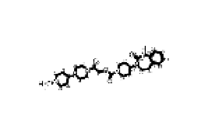 CN1CCC(N2CCN(C(=O)COC(=O)N3CCC(N4CCc5ccccc5NC4=O)CC3)CC2)CC1